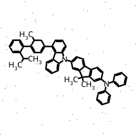 CC1CC(c2cccc3c2c2ccccc2n3-c2ccc3c(c2)C(C)(C)c2cc(N(c4ccccc4)c4ccccc4)ccc2-3)=CC=C1c1ccccc1C(C)C